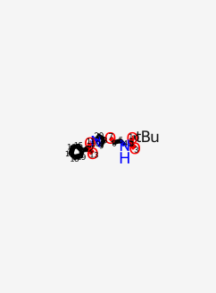 CC(C)(C)OC(=O)NCCOC1CN(OC(=O)c2ccccc2)C1